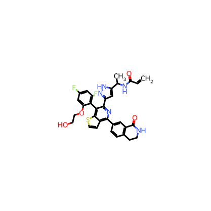 C=CC(=O)NC(C)c1cc(-c2nc(-c3ccc4c(c3)C(=O)NCC4)c3ccsc3c2-c2c(F)cc(F)cc2OCCO)n[nH]1